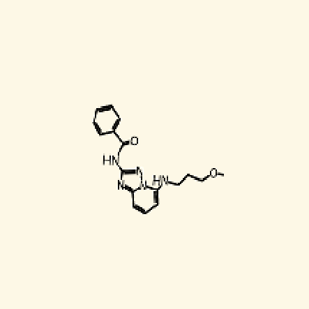 COCCCNc1cccc2nc(NC(=O)c3ccccc3)nn12